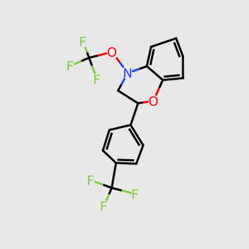 FC(F)(F)ON1CC(c2ccc(C(F)(F)F)cc2)Oc2ccccc21